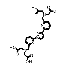 O=C(O)CN(CC(=O)O)Cc1cccc(-c2ccn(-c3cccc(CN(CC(=O)O)CC(=O)O)n3)n2)n1